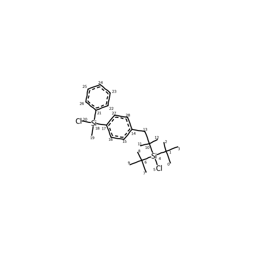 CC(C)(C)[Si](Cl)(C(C)(C)C)C(C)(C)Cc1ccc([Si](C)(Cl)c2ccccc2)cc1